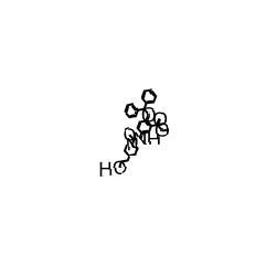 COC(=O)c1cc(NC(=O)N2CCC(CCO)CC2)ccc1OC(c1ccccc1)c1ccccc1